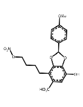 COc1ccc(C2Oc3c(O)cc(C(=O)O)c(CCCCO[N+](=O)[O-])c3O2)cc1